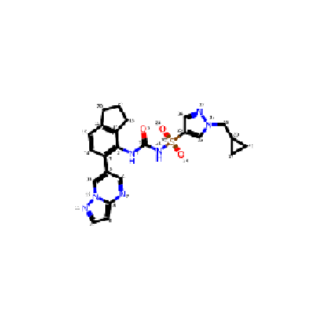 O=C(Nc1c(-c2cnc3ccnn3c2)ccc2c1CCC2)NS(=O)(=O)c1cnn(CC2CC2)c1